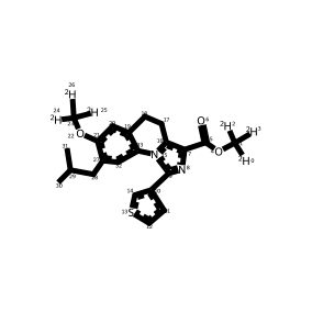 [2H]C([2H])([2H])OC(=O)c1nc(-c2ccsc2)n2c1CCc1cc(OC([2H])([2H])[2H])c(CC(C)C)cc1-2